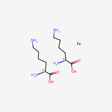 NCCCC[C@H](N)C(=O)O.NCCCC[C@H](N)C(=O)O.[Fe]